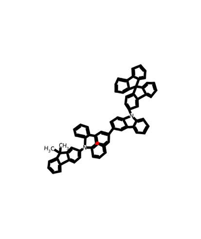 CC1(C)c2ccccc2-c2ccc(N(c3ccccc3)c3ccccc3-c3cccc(-c4ccc5c(c4)c4ccccc4n5-c4ccc5c(c4)-c4ccccc4C54c5ccccc5-c5ccccc54)c3)cc21